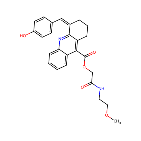 COCCNC(=O)COC(=O)c1c2c(nc3ccccc13)/C(=C\c1ccc(O)cc1)CCC2